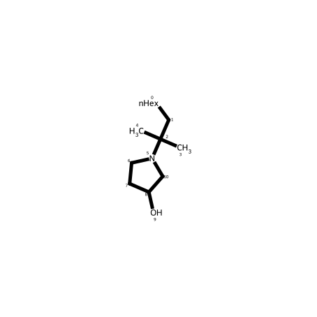 CCCCCCCC(C)(C)N1CCC(O)C1